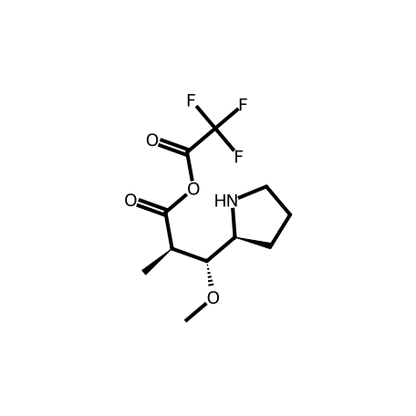 CO[C@@H]([C@@H]1CCCN1)[C@@H](C)C(=O)OC(=O)C(F)(F)F